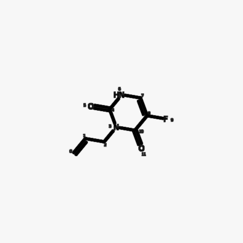 C=CCn1c(=O)[nH]cc(F)c1=O